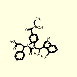 CCN(O)C(=O)c1ccc2c(c1)n(C(CC(=O)O)c1ccccc1)c(=O)n2C(C)c1c[nH]c2cccc(C)c12